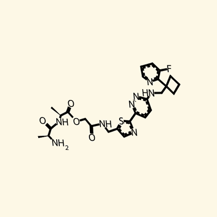 C[C@H](N)C(=O)N[C@@H](C)C(=O)OCC(=O)NCc1cnc(-c2ccc(NCC3(c4ncccc4F)CCC3)nn2)s1